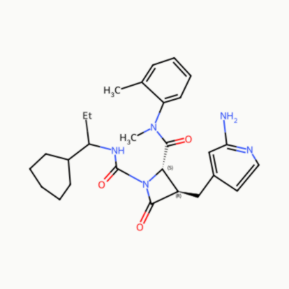 CCC(NC(=O)N1C(=O)[C@H](Cc2ccnc(N)c2)[C@H]1C(=O)N(C)c1ccccc1C)C1CCCCC1